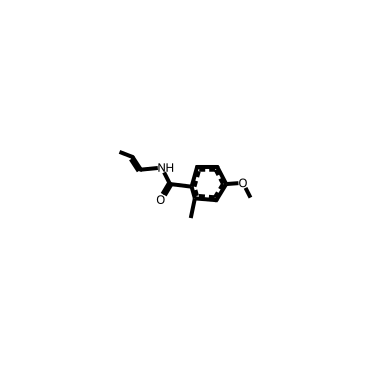 CC=CNC(=O)c1ccc(OC)cc1C